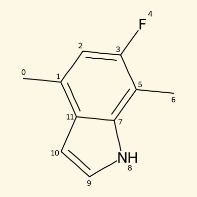 Cc1cc(F)c(C)c2[nH]ccc12